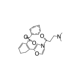 CN(C)CCC(=O)N1C=COC(C2=C(S(=O)(=O)c3ccccc3)C=CCC2)=C1